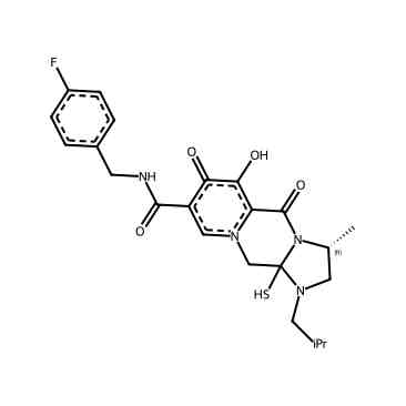 CC(C)CN1C[C@@H](C)N2C(=O)c3c(O)c(=O)c(C(=O)NCc4ccc(F)cc4)cn3CC12S